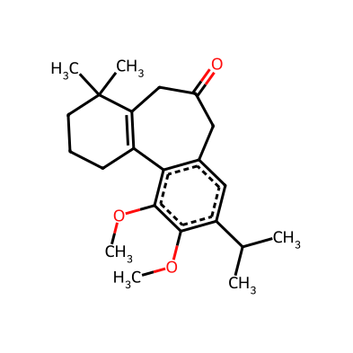 COc1c(C(C)C)cc2c(c1OC)C1=C(CC(=O)C2)C(C)(C)CCC1